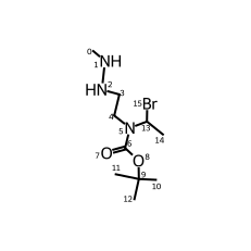 CNNCCN(C(=O)OC(C)(C)C)C(C)Br